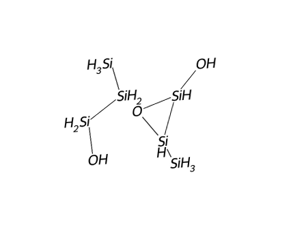 O[SiH2][SiH2][SiH3].O[SiH]1O[SiH]1[SiH3]